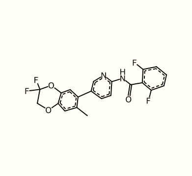 Cc1cc2c(cc1-c1ccc(NC(=O)c3c(F)cccc3F)nc1)OC(F)(F)CO2